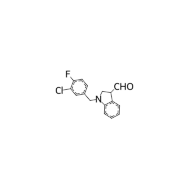 O=CC1CN(Cc2ccc(F)c(Cl)c2)c2ccccc21